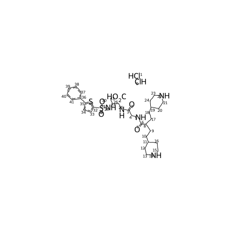 Cl.Cl.O=C(CNC(=O)C(CCC1CCNCC1)CCC1CCNCC1)NCC(NS(=O)(=O)c1ccc(-c2ccccc2)s1)C(=O)O